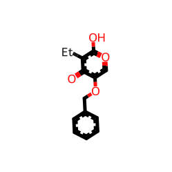 CCc1c(O)occ(OCc2ccccc2)c1=O